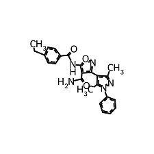 CCc1ccc(C(=O)Nc2onc(-c3c(C)nn(-c4ccccc4)c3C)c2C(N)=O)cc1